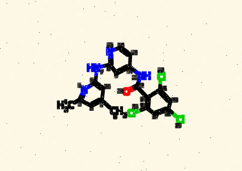 Cc1cc(C)nc(Nc2cc(NC(=O)c3c(Cl)cc(Cl)cc3Cl)ccn2)c1